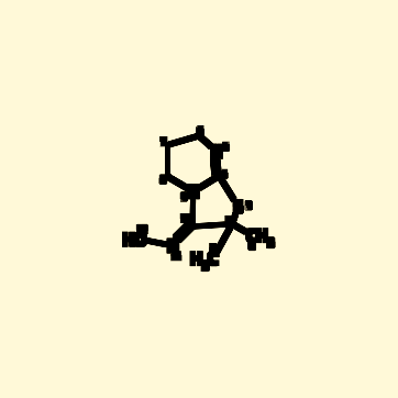 CC1(C)SC2=NCCCN2/C1=N\O